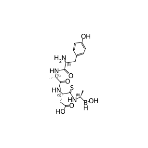 C[C@H](NC(=O)[C@@H](N)Cc1ccc(O)cc1)C(=O)N[C@@H](CC(=O)O)C(=S)N[C@@H](C)BO